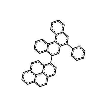 c1ccc(-c2nc3ccccc3c3c2cc(-c2ccc4ccc5cccc6ccc2c4c56)c2ccccc23)nc1